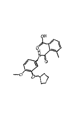 COc1ccc(NC(=O)c2c(C)cccc2C(=O)O)cc1OC1CCCC1